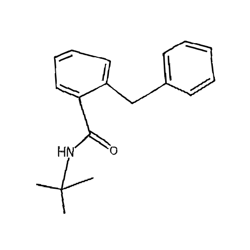 CC(C)(C)NC(=O)c1ccccc1Cc1ccccc1